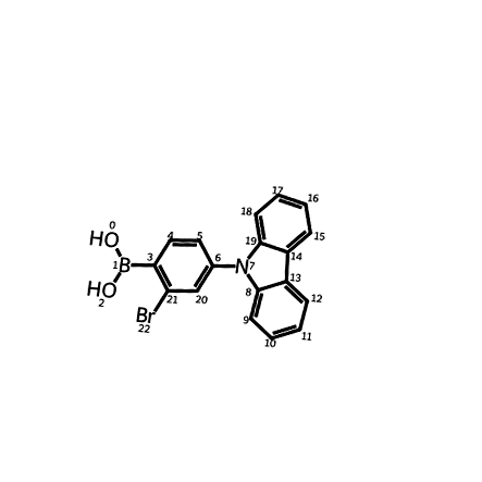 OB(O)c1ccc(-n2c3ccccc3c3ccccc32)cc1Br